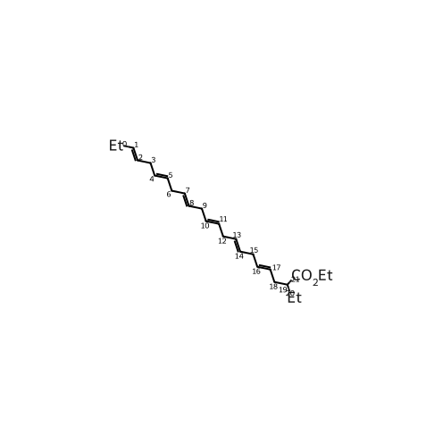 CCC=CCC=CCC=CCC=CCC=CCC=CCC(CC)C(=O)OCC